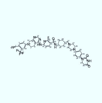 N#Cc1ccc(N2CCc3c(ncnc3Nc3ccc(C(=O)N[C@H]4CC[C@H](CN5CCN(c6ccc(N7CCC(=O)NC7=O)cc6)CC5)CC4)c(F)n3)C2)cc1C(F)(F)F